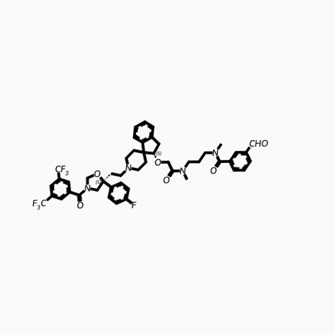 CN(CCCN(C)C(=O)c1cccc(C=O)c1)C(=O)CO[C@H]1Cc2ccccc2C12CCN(CC[C@]1(c3ccc(F)cc3)CN(C(=O)c3cc(C(F)(F)F)cc(C(F)(F)F)c3)CO1)CC2